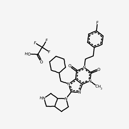 Cn1c(=O)n(CCc2ccc(F)cc2)c(=O)c2c1nc(N1CCC3CNCC31)n2CC1CCCCC1.O=C(O)C(F)(F)F